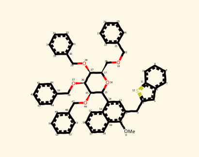 COc1c(Cc2cc3ccccc3s2)cc(C2O[C@H](COCc3ccccc3)[C@H](OCc3ccccc3)[C@H](OCc3ccccc3)[C@@H]2OCc2ccccc2)c2ccccc12